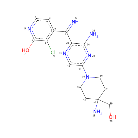 N=C(c1ccnc(O)c1Cl)c1ncc(N2CCC(N)(CO)CC2)nc1N